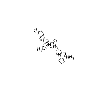 C=CC(c1cc2ccc(Cl)cc2s1)S(=O)(=O)N1CCN(CC2CCN(c3ccccc3C(N)=O)CC2)C(=O)C1